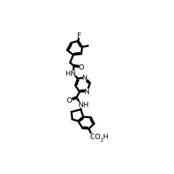 Cc1cc(CC(=O)Nc2cc(C(=O)N[C@H]3CCc4cc(C(=O)O)ccc43)ncn2)ccc1F